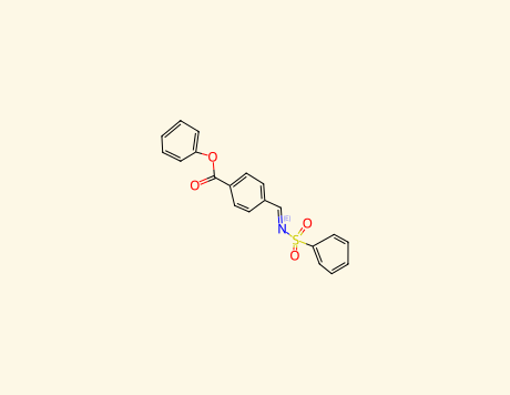 O=C(Oc1ccccc1)c1ccc(/C=N/S(=O)(=O)c2ccccc2)cc1